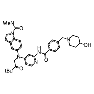 CNC(=O)n1ccc2cc(N(CC(=O)C(C)(C)C)c3ccnc(NC(=O)c4ccc(CN5CCC(O)CC5)cc4)c3)ccc21